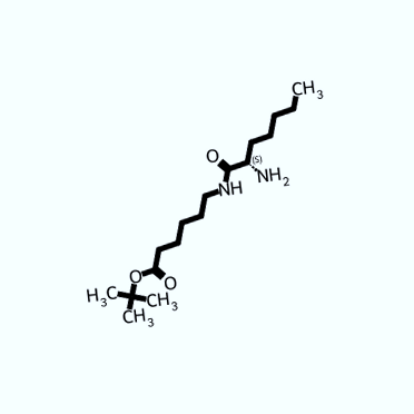 CCCCC[C@H](N)C(=O)NCCCCCC(=O)OC(C)(C)C